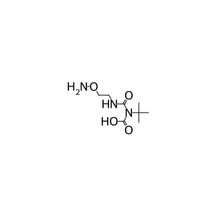 CC(C)(C)N(C(=O)O)C(=O)NCCON